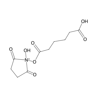 O=C(O)CCCCC(=O)O[N+]1(O)C(=O)CCC1=O